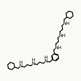 c1cc(CNCCCNCCCNCC2CCCCC2)cc(CNCCCNCCCNCC2CCCCC2)c1